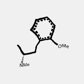 CN[C@H](C)Cc1ccccc1OC